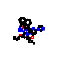 CO[C@@H]1C[C@@H]([C@H](C)Oc2cc(-n3ccnc3)nc(-c3noc4c3CCC[C@@]43CCCc4sc(N)c(C#N)c43)n2)N(C)C1